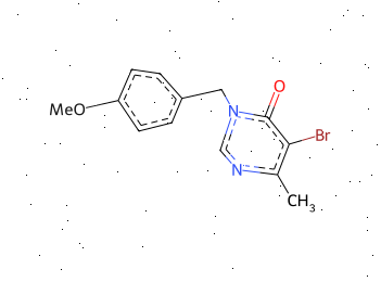 COc1ccc(Cn2cnc(C)c(Br)c2=O)cc1